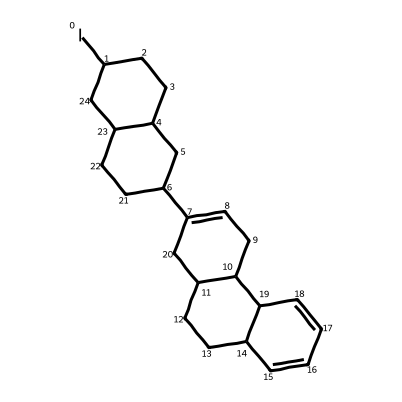 IC1CCC2CC(C3=CCC4C(CCC5C=CC=CC54)C3)CCC2C1